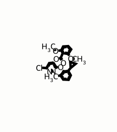 COc1cccc(OC)c1C(=O)Oc1cc(Cl)nnc1Oc1c(C)cccc1C1CC1